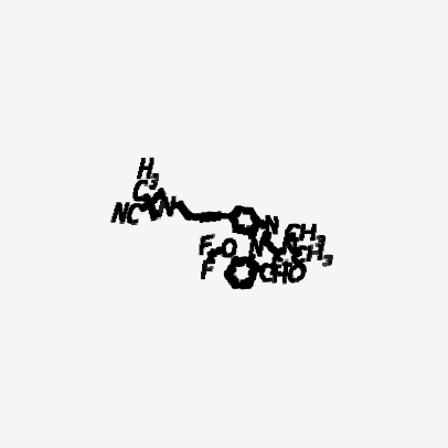 CCC(c1nc2ccc(C#CCCN3CC(C)(C#N)C3)cc2n1-c1c(C=O)cccc1OC(F)F)N(C)C